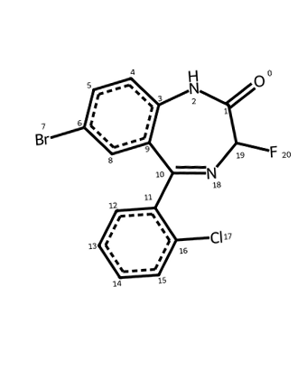 O=C1Nc2ccc(Br)cc2C(c2ccccc2Cl)=NC1F